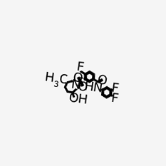 CC1CCC(O)CN(S(=O)(=O)c2cc(C(=O)Nc3ccc(F)c(F)c3)ccc2CF)C1